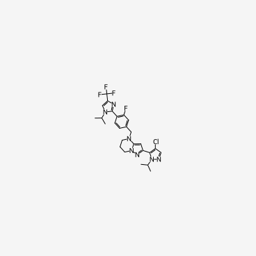 CC(C)n1cc(C(F)(F)F)nc1-c1ccc(CN2CCCn3nc(-c4c(Cl)cnn4C(C)C)cc32)cc1F